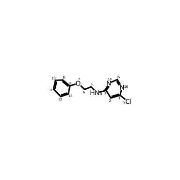 Clc1cc(NCCOc2ccccc2)ncn1